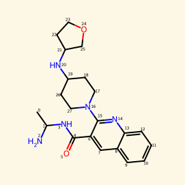 CC(N)NC(=O)c1cc2ccccc2nc1N1CCC(NC2CCOC2)CC1